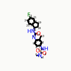 CN(C)S(=O)(=O)Nc1ccc2c(c1)COC(NC1CCc3cc(F)ccc31)=N2